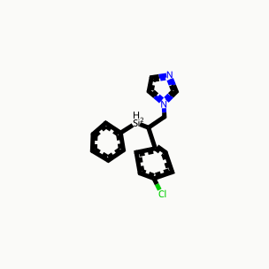 Clc1ccc(C(Cn2ccnc2)[SiH2]c2ccccc2)cc1